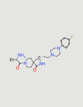 CCC(N)C(=O)N1CCC2(CC1)C[C@H](CCN1CCN(c3ccc(F)cc3)CC1)NC2=O